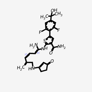 C=C(/C=C\C=C(/N)Nc1sc(-c2c(F)cc(C(C)(C)O)cc2F)cc1C(N)=O)CNC1=CC(=O)CC1